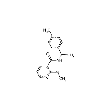 CSc1ncccc1C(=O)NC(C)c1ccc(C)cc1